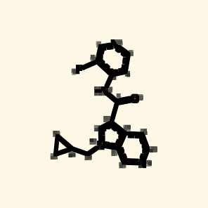 O=C(Nc1ccncc1F)c1cn(CC2CC2)c2cnccc12